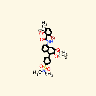 COc1cc2c(NC(=O)c3c(Br)ccc(C)c3OC)cccc2c(-c2ccc(S(=O)(=O)N(C)C)cc2)c1OC